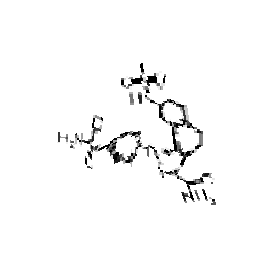 CS(=O)(=O)Nc1ccc2ccc3c(C(N)=O)nn(-c4ccc(S(N)(=O)=O)cc4)c3c2c1